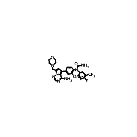 COc1cc(-c2cc(CN3CCOCC3)n3ncnc(N)c23)ccc1N(C(N)=O)c1ccc(F)c(C(F)(F)F)c1